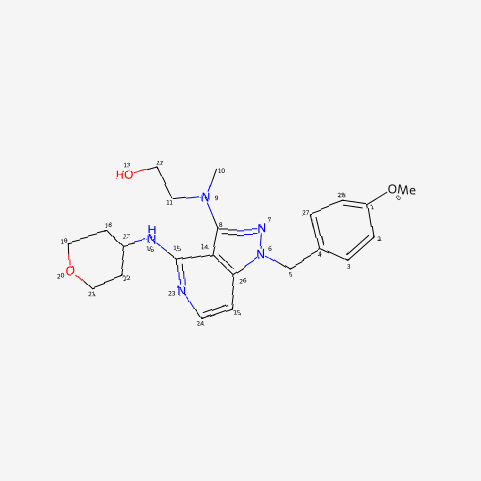 COc1ccc(Cn2nc(N(C)CCO)c3c(NC4CCOCC4)nccc32)cc1